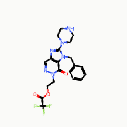 O=C(OCCn1ncc2nc(N3CCNCC3)n(Cc3ccccc3)c2c1=O)C(F)(F)F